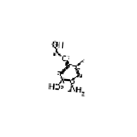 Cc1cc(N)c(O)cc1CCO